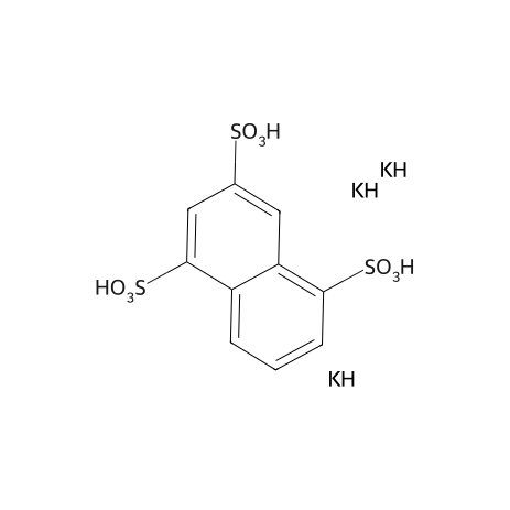 O=S(=O)(O)c1cc(S(=O)(=O)O)c2cccc(S(=O)(=O)O)c2c1.[KH].[KH].[KH]